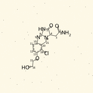 NC(=O)CC1C(=O)NC2=Nc3ccc(OCCO)c(Cl)c3CN21